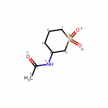 CC(=O)NC1CCCS(=O)(=O)C1